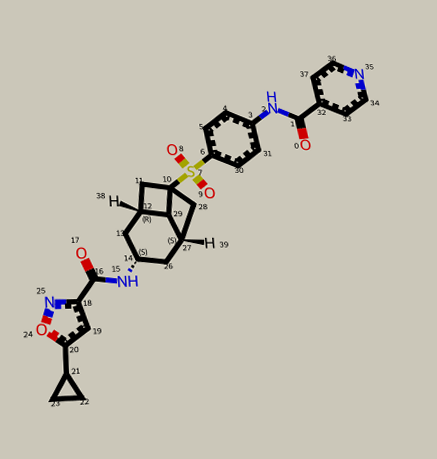 O=C(Nc1ccc(S(=O)(=O)C23C[C@H]4C[C@@H](NC(=O)c5cc(C6CC6)on5)C[C@@H](C2)C43)cc1)c1ccncc1